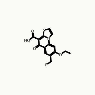 CCOc1cc2c(cc1CF)c(=O)c(C(=O)O)c1sccn12